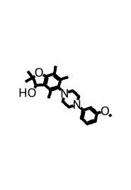 COc1cccc(N2CCN(c3c(C)c(C)c4c(c3C)C(O)C(C)(C)O4)CC2)c1